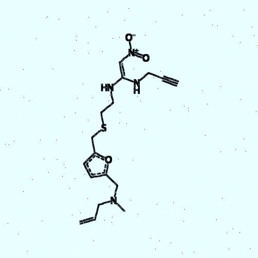 C#CCNC(=C[N+](=O)[O-])NCCSCc1ccc(CN(C)CC=C)o1